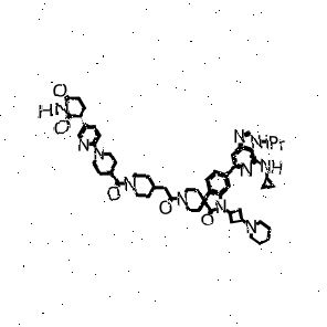 CC(C)n1cnc2cc(-c3ccc4c(c3)N(C3CC(N5CCCCC5)C3)C(=O)C43CCN(C(=O)CC4CCN(C(=O)C5CCN(c6ccc([C@H]7CCC(=O)NC7=O)cn6)CC5)CC4)CC3)nc(NC3CC3)c21